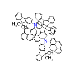 CC1(C)c2ccccc2-c2ccc(N(c3ccc4ccc5cccc6c5c4c3CC6)c3cc4c(c5ccc#cc35)-c3ccccc3C4(c3ccccc3)C3(c4ccccc4)c4ccccc4-c4c3cc(N(c3ccc5c(c3)C(C)(C)c3ccccc3-5)c3ccc5ccc6cccc7c#cc3c5c76)c3c4C=CCC3)cc21